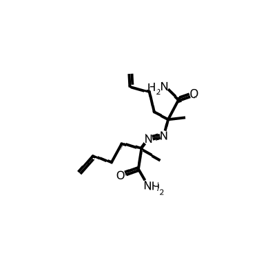 C=CCCC(C)(N=NC(C)(CCC=C)C(N)=O)C(N)=O